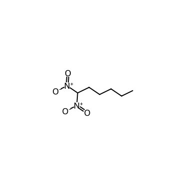 CCCCCC([N+](=O)[O-])[N+](=O)[O-]